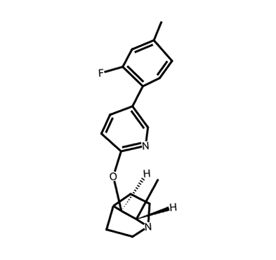 Cc1ccc(-c2ccc(O[C@@H]3C4CCN(CC4)[C@H]3C)nc2)c(F)c1